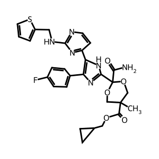 CC1(C(=O)OCC2CC2)COC(C(N)=O)(c2nc(-c3ccc(F)cc3)c(-c3ccnc(NCc4cccs4)n3)[nH]2)OC1